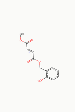 CCCCOC(=O)/C=C/C(=O)OCc1ccccc1O